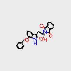 O=C1c2ccccc2C(=O)N1[C@H](CO)Cc1c[nH]c2c(OCc3ccccc3)cccc12